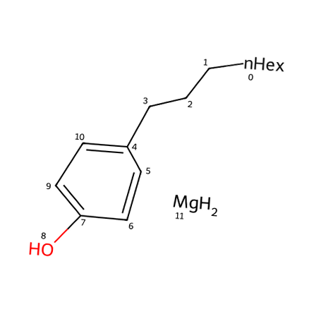 CCCCCCCCCc1ccc(O)cc1.[MgH2]